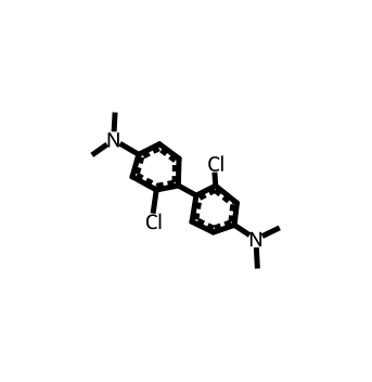 CN(C)c1ccc(-c2ccc(N(C)C)cc2Cl)c(Cl)c1